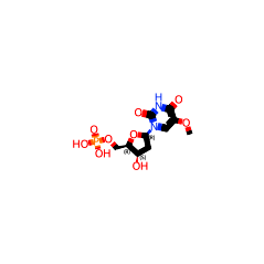 COc1cn([C@H]2C[C@H](O)[C@@H](COP(=O)(O)O)O2)c(=O)[nH]c1=O